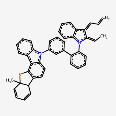 C=C/C=c1\c(=C/C)n(-c2ccccc2-c2cccc(-n3c4ccccc4c4c5c(ccc43)C3C=CC=CC3(C)S5)c2)c2ccccc12